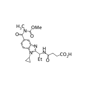 CCC(NC(=O)CCC(=O)O)c1nc2cc(C(=O)N(C)C(=O)OC)ccc2n1C1CC1